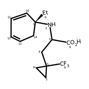 CC[C@]1(NC(CC2(C(F)(F)F)CC2)C(=O)O)C=CC=CC1